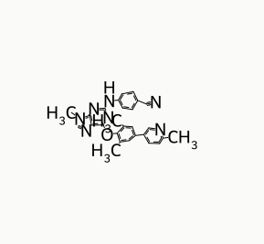 Cc1ccc(-c2cc(C)c(Oc3nc(Nc4ccc(C#N)cc4)nc4c3ncn4C)c(C)c2)cn1